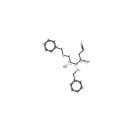 O=CC[C@@H](O)[C@H](OCc1ccccc1)[C@H](O)COCc1ccccc1